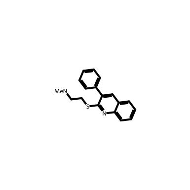 CNCCSc1nc2ccccc2cc1-c1ccccc1